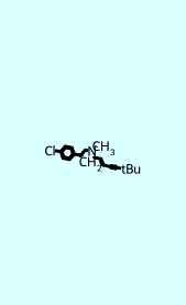 C=C(CN(C)CC=CC#CC(C)(C)C)c1ccc(Cl)cc1